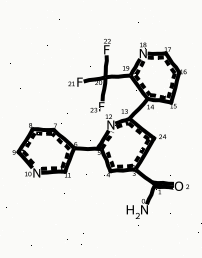 NC(=O)c1cc(-c2cccnc2)nc(-c2cccnc2C(F)(F)F)c1